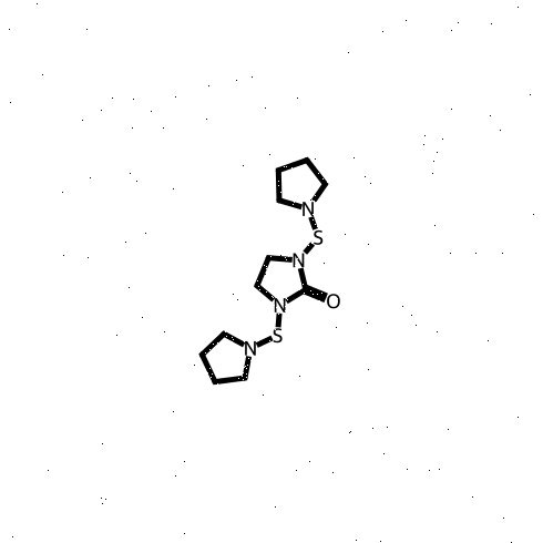 O=C1N(SN2CCCC2)CCN1SN1CCCC1